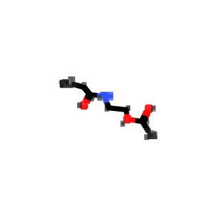 CCC(=O)OCCNC(=O)CC(C)(C)C